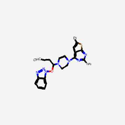 CCCc1nc(N2CCN(C(CCC=O)On3nnc4ccccc43)CC2)c2cc(CC)sc2n1